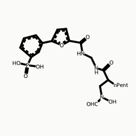 CCCCCC(CN(O)C=O)C(=O)NCNC(=O)c1ccc(-c2cccc(P(=O)(O)O)c2)o1